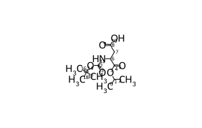 CC(C)OC(=O)C(CC(=O)O)NC(=O)OC(C)(C)C